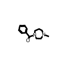 CN1CCCN(C(=O)c2ccccc2)CC1